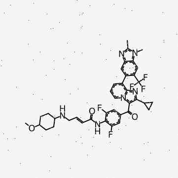 COC1CCC(NC/C=C/C(=O)Nc2c(F)cc(C(=O)c3c(C4CC4)nc4c(-c5cc6nc(C)n(C)c6cc5C(F)(F)F)cccn34)cc2F)CC1